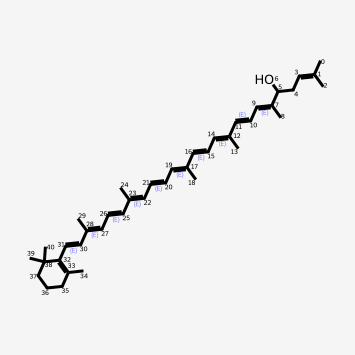 CC(C)=CCC(O)/C(C)=C/C=C/C(C)=C/C=C/C(C)=C/C=C/C=C(C)/C=C/C=C(C)/C=C/C1=C(C)CCCC1(C)C